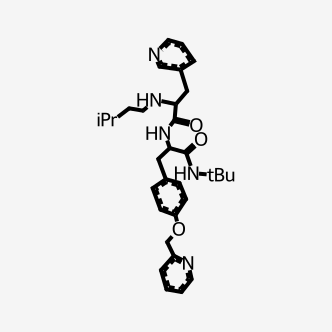 CC(C)CCNC(Cc1cccnc1)C(=O)NC(Cc1ccc(OCc2ccccn2)cc1)C(=O)NC(C)(C)C